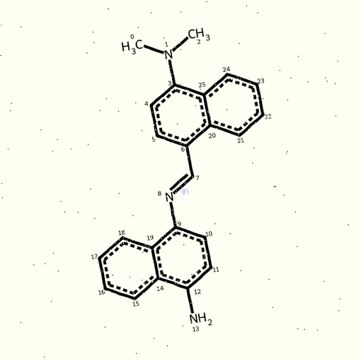 CN(C)c1ccc(/C=N/c2ccc(N)c3ccccc23)c2ccccc12